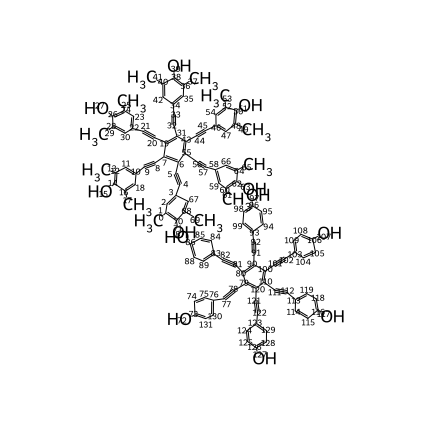 Cc1cc(C#Cc2c(C#Cc3cc(C)c(O)c(C)c3)c(C#Cc3cc(C)c(O)c(C)c3)c(C#Cc3cc(C)c(O)c(C)c3)c(C#Cc3cc(C)c(O)c(C)c3)c2C#Cc2cc(C)c(O)c(C)c2)cc(C)c1O.Oc1ccc(C#Cc2c(C#Cc3ccc(O)cc3)c(C#Cc3ccc(O)cc3)c(C#Cc3ccc(O)cc3)c(C#Cc3ccc(O)cc3)c2C#Cc2ccc(O)cc2)cc1